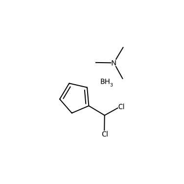 B.CN(C)C.ClC(Cl)C1=CC=CC1